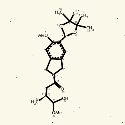 COc1cc2c(cc1B1OC(C)(C)C(C)(C)O1)CN(C(=O)C[C@H](C)C(O)OC)C2